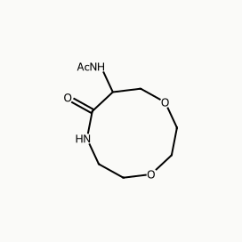 CC(=O)NC1COCCOCCNC1=O